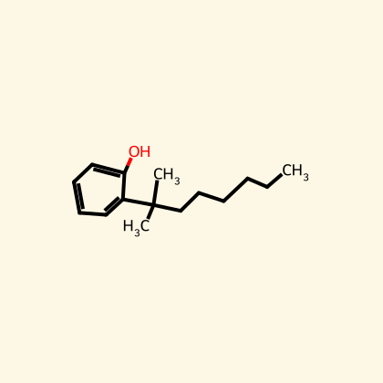 CCCCCCC(C)(C)c1ccccc1O